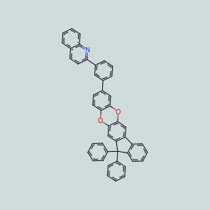 c1ccc(C2(c3ccccc3)c3ccccc3-c3cc4c(cc32)Oc2ccc(-c3cccc(-c5ccc6ccccc6n5)c3)cc2O4)cc1